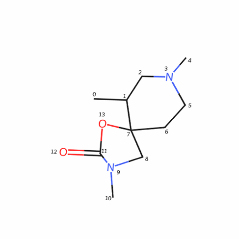 CC1CN(C)CCC12CN(C)C(=O)O2